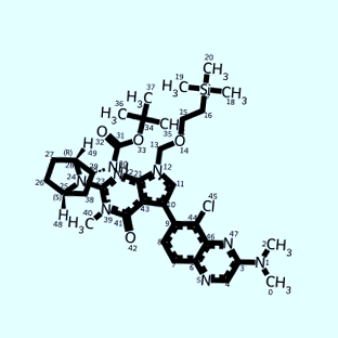 CN(C)c1cnc2ccc(-c3cn(COCC[Si](C)(C)C)c4nc(N5[C@H]6CC[C@@H]5[C@H](NC(=O)OC(C)(C)C)C6)n(C)c(=O)c34)c(Cl)c2n1